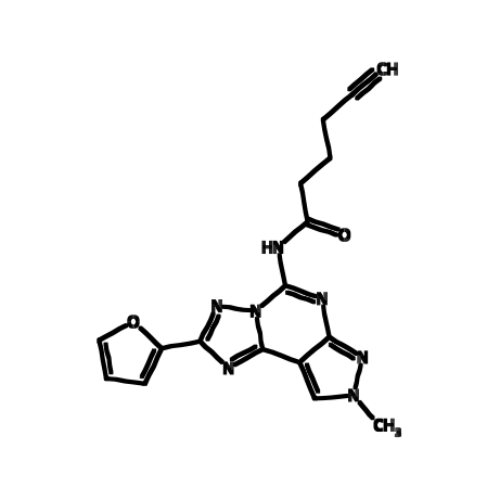 C#CCCCC(=O)Nc1nc2nn(C)cc2c2nc(-c3ccco3)nn12